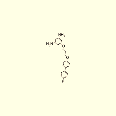 Nc1cc(N)cc(OCCCOc2ccc(-c3ccc(F)cc3)cc2)c1